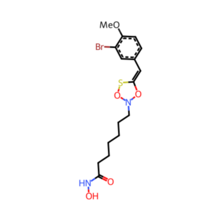 COc1ccc(/C=C2/ON(CCCCCCC(=O)NO)OS2)cc1Br